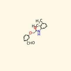 Cc1cccc(NC(=O)COc2cccc(C=O)c2)c1C